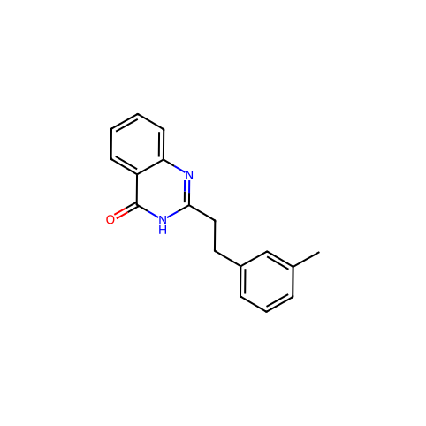 Cc1cccc(CCc2nc3ccccc3c(=O)[nH]2)c1